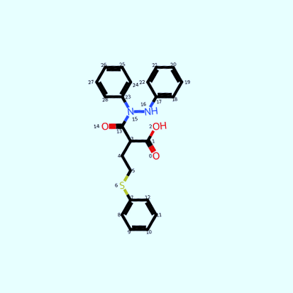 O=C(O)C(CCSc1ccccc1)C(=O)N(Nc1ccccc1)c1ccccc1